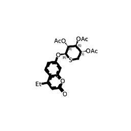 CCc1cc(=O)oc2cc(O[C@@H]3SC[C@@H](OC(C)=O)[C@H](OC(C)=O)[C@H]3OC(C)=O)ccc12